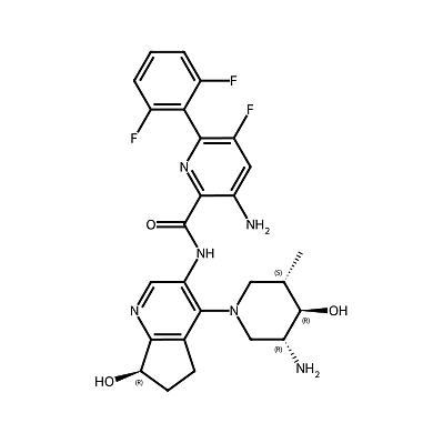 C[C@H]1CN(c2c(NC(=O)c3nc(-c4c(F)cccc4F)c(F)cc3N)cnc3c2CC[C@H]3O)C[C@@H](N)[C@@H]1O